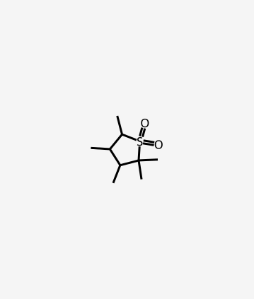 CC1C(C)C(C)(C)S(=O)(=O)C1C